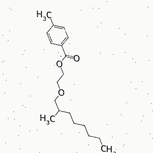 CCCCCCC(C)COCCOC(=O)c1ccc(C)cc1